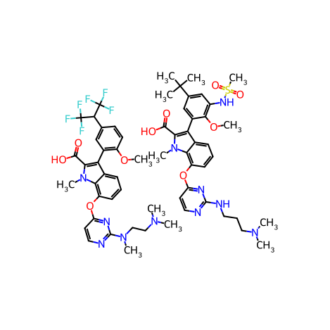 COc1c(NS(C)(=O)=O)cc(C(C)(C)C)cc1-c1c(C(=O)O)n(C)c2c(Oc3ccnc(NCCCN(C)C)n3)cccc12.COc1ccc(C(C(F)(F)F)C(F)(F)F)cc1-c1c(C(=O)O)n(C)c2c(Oc3ccnc(N(C)CCN(C)C)n3)cccc12